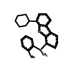 CN(c1ccccc1C(C)(C)C)c1cccc2c1oc1c(C3CCCCC3)cccc12